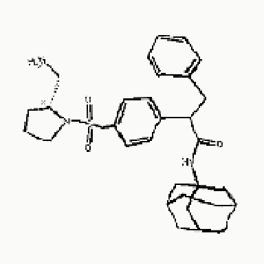 NC[C@H]1CCCN1S(=O)(=O)c1ccc(C(Cc2ccccc2)C(=O)NC23CC4CC(CC(C4)C2)C3)cc1